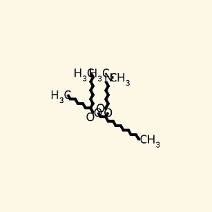 CCCCCCCCCCC(COC(=O)C(CCCCCC)CCCCCCCC)OC(=O)CCCCCCN(C)C